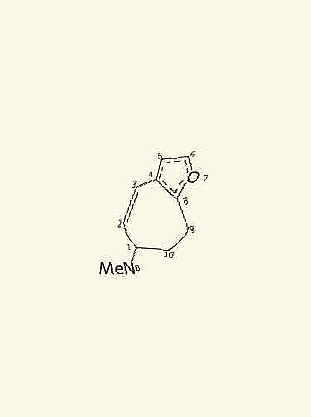 CNC1C=Cc2ccoc2CC1